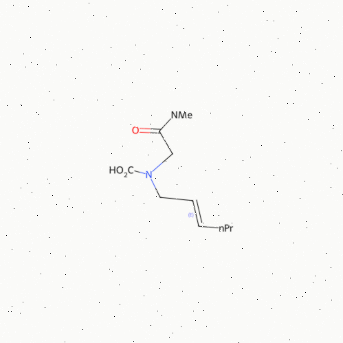 CCC/C=C/CN(CC(=O)NC)C(=O)O